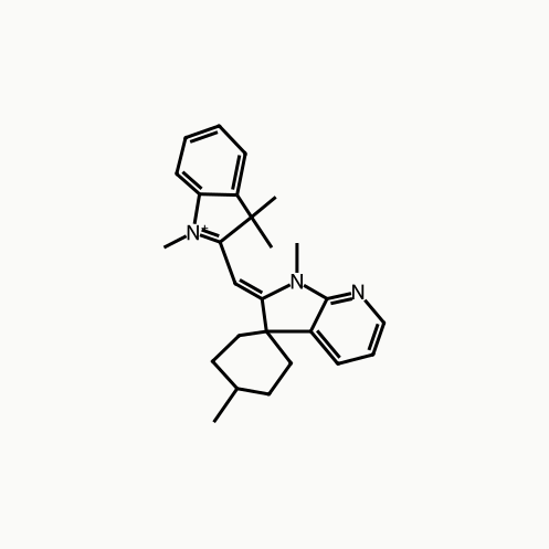 CC1CCC2(CC1)C(=CC1=[N+](C)c3ccccc3C1(C)C)N(C)c1ncccc12